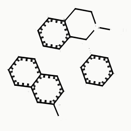 O=C(O)N1CCc2ccccc2[C@H]1c1ccccc1.O=S(=O)(O)c1ccc2ccccc2c1